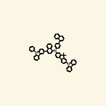 CC1(C)c2cc(N(c3ccc(-c4cccc5ccccc45)cc3)c3ccc(-c4ccc5c(c4)c4ccccc4n5-c4ccccc4)c4ccccc34)ccc2-c2ccc(-n3c4ccccc4c4ccccc43)cc21